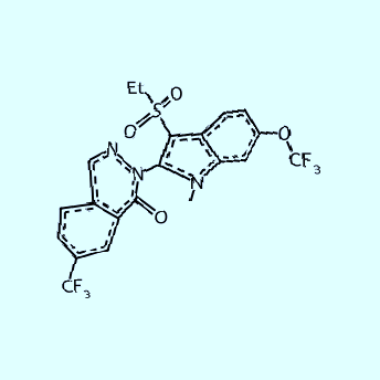 CCS(=O)(=O)c1c(-n2ncc3ccc(C(F)(F)F)cc3c2=O)n(C)c2cc(OC(F)(F)F)ccc12